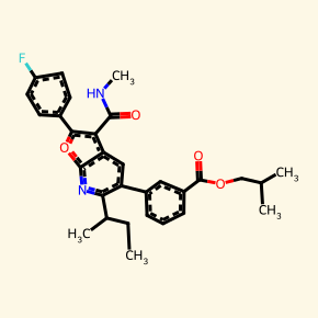 CCC(C)c1nc2oc(-c3ccc(F)cc3)c(C(=O)NC)c2cc1-c1cccc(C(=O)OCC(C)C)c1